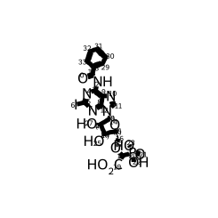 O=C(Nc1nc(I)nc2c1ncn2[C@@H]1O[C@H](COC(C(=O)O)P(=O)(O)O)[C@H](O)[C@H]1O)c1ccccc1